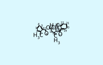 Cc1ccccc1C(=O)OC(C)CC(C)OC(=O)c1ccccc1C